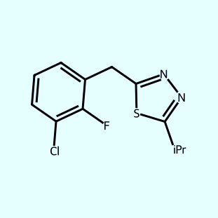 CC(C)c1nnc(Cc2cccc(Cl)c2F)s1